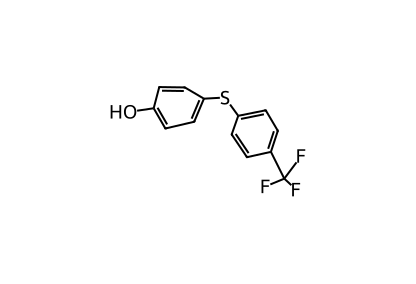 Oc1ccc(Sc2ccc(C(F)(F)F)cc2)cc1